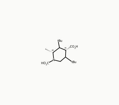 C[C@@H]1C(C(C)(C)C)[C@H](C(=O)O)C(C(C)(C)C)CN1C(=O)O